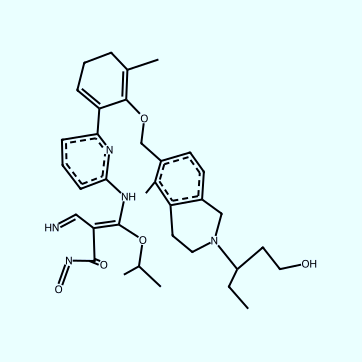 CCC(CCO)N1CCc2c(ccc(COC3=C(C)CCC=C3c3cccc(N/C(OC(C)C)=C(\C=N)C(=O)N=O)n3)c2C)C1